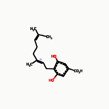 CC(C)=CCC/C(C)=C/Cc1c(O)cc(C(=O)O)cc1O